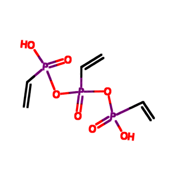 C=CP(=O)(O)OP(=O)(C=C)OP(=O)(O)C=C